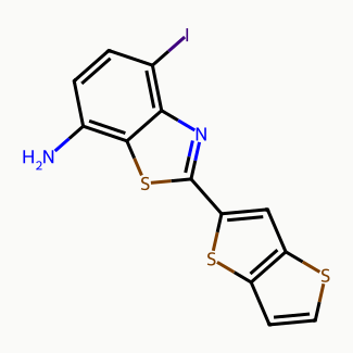 Nc1ccc(I)c2nc(-c3cc4sccc4s3)sc12